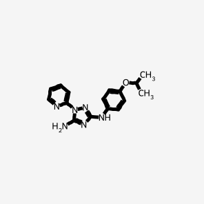 CC(C)Oc1ccc(Nc2nc(N)n(-c3ccccn3)n2)cc1